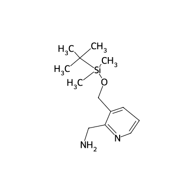 CC(C)(C)[Si](C)(C)OCc1cccnc1CN